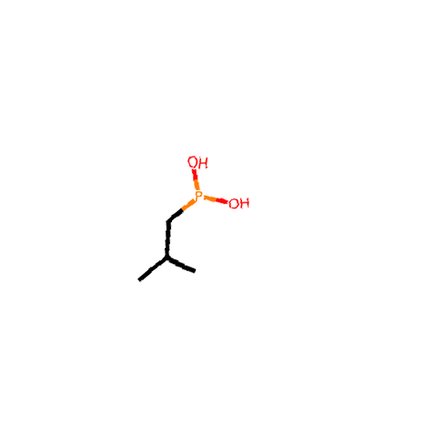 CC(C)CP(O)O